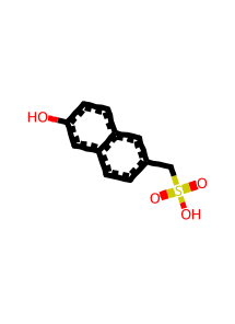 O=S(=O)(O)Cc1ccc2cc(O)ccc2c1